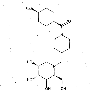 CC(C)(C)[C@H]1CC[C@@H](C(=O)N2CCC(CN3C[C@H](O)[C@@H](O)[C@H](O)[C@@H]3CO)CC2)CC1